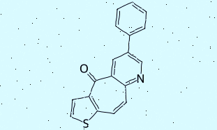 O=c1c2cc(-c3ccccc3)cnc2ccc2sccc12